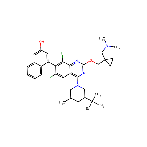 CCC(C)(C)C1CC(C)CN(c2nc(OCC3(CN(C)C)CC3)nc3c(F)c(-c4cc(O)cc5ccccc45)c(F)cc23)C1